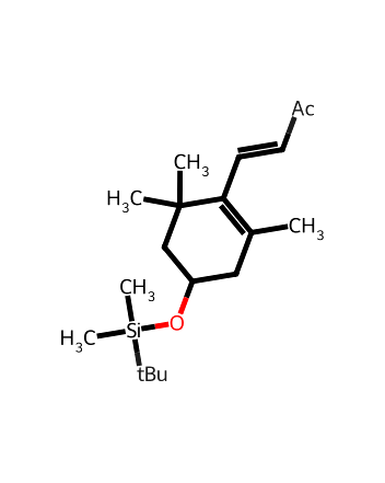 CC(=O)/C=C/C1=C(C)CC(O[Si](C)(C)C(C)(C)C)CC1(C)C